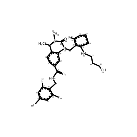 CC1c2ccc(C(=O)NCc3c(F)cc(F)cc3F)cc2N(Cc2c(F)cccc2NCCCO)C(=O)N1C